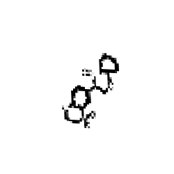 O=S1(=O)CCOc2ccc(C3COc4ccccc4[S+]3[O-])cc21